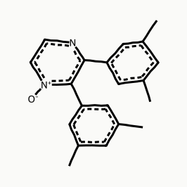 Cc1cc(C)cc(-c2ncc[n+]([O-])c2-c2cc(C)cc(C)c2)c1